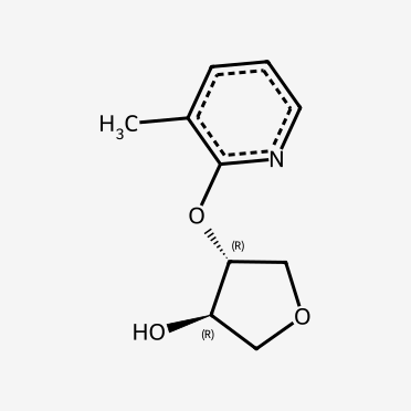 Cc1cccnc1O[C@@H]1COC[C@H]1O